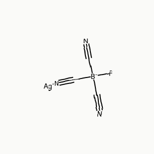 N#C[B-](F)(C#N)C#N.[Ag+]